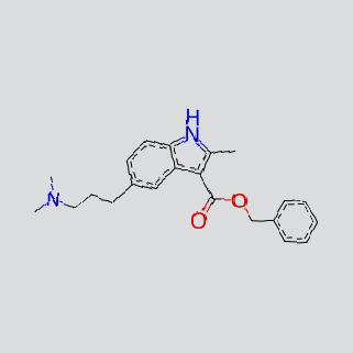 Cc1[nH]c2ccc(CCCN(C)C)cc2c1C(=O)OCc1ccccc1